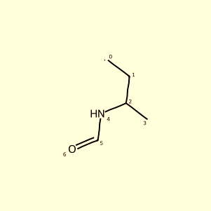 [CH2]CC(C)NC=O